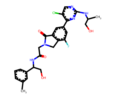 Cc1cccc(C(CO)NC(=O)CN2Cc3c(F)cc(-c4nc(NC(C)CO)ncc4Cl)cc3C2=O)c1